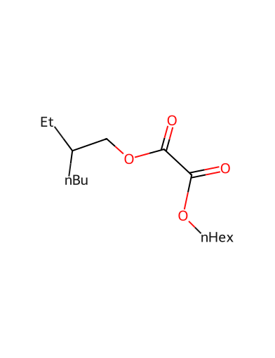 CCCCCCOC(=O)C(=O)OCC(CC)CCCC